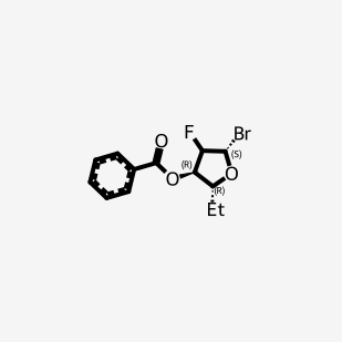 CC[C@H]1O[C@@H](Br)C(F)[C@@H]1OC(=O)c1ccccc1